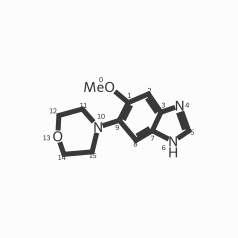 COc1cc2nc[nH]c2cc1N1CCOCC1